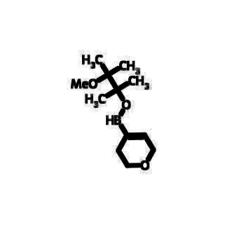 COC(C)(C)C(C)(C)OBC1=CCOCC1